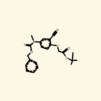 CN(C(=O)OCc1ccccc1)c1ccc(OCC(=O)OC(C)(C)C)c(C#N)c1